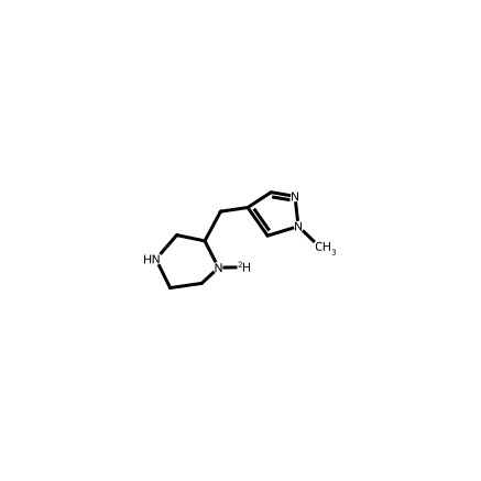 [2H]N1CCNCC1Cc1cnn(C)c1